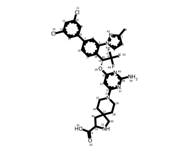 Cc1ccn(-c2cc(-c3cc(Cl)cc(Cl)c3)ccc2[C@@H](Oc2cc(N3CCC4(CC3)CNC(C(=O)O)C4)nc(N)n2)C(F)(F)F)n1